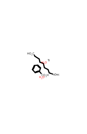 CCCCCCCCCCCCCCCCCC(=O)O.O.O.O=C(O)c1ccccc1.[Ti]